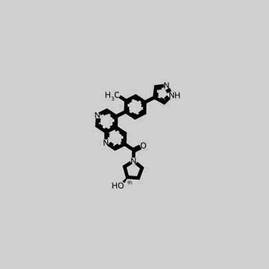 Cc1cc(-c2cn[nH]c2)ccc1-c1cncc2ncc(C(=O)N3CC[C@@H](O)C3)cc12